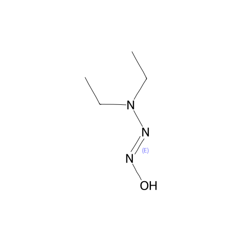 CCN(CC)/N=N/O